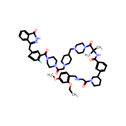 CCOc1cc(OC)ccc1CNCC(=O)N1CCCC(c2cccc(C(=O)NC(C)(C)C(=O)N3CCN(CC4CCN(CC(=O)N5CCN(C(=O)c6cc(Cc7n[nH]c(=O)c8ccccc78)ccc6F)CC5)CC4)CC3)c2)C1